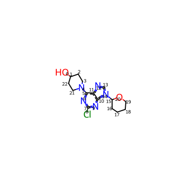 OC1CCN(c2nc(Cl)nc3c2ncn3C2CCCCO2)CC1